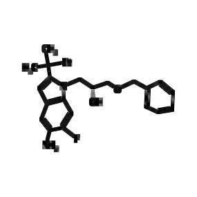 CCC(C)(C)c1cc2cc(N)c(F)cc2n1C[C@@H](O)COCc1ccccc1